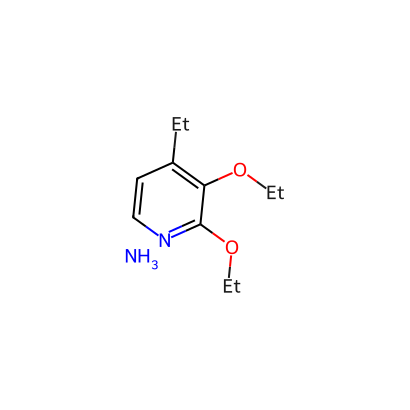 CCOc1nccc(CC)c1OCC.N